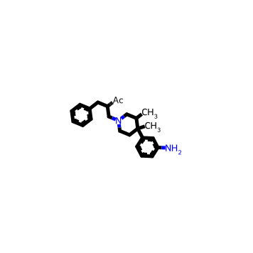 CC(=O)C(Cc1ccccc1)CN1CCC(C)(c2cccc(N)c2)C(C)C1